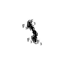 FC(OC(F)(OC(F)(F)C(F)(F)C(F)(F)F)C(F)(F)F)C(F)(F)OCc1ccc(OC(F)(F)C(F)OC(F)(OC(F)(F)C(F)(F)C(F)(F)F)C(F)(F)F)cc1